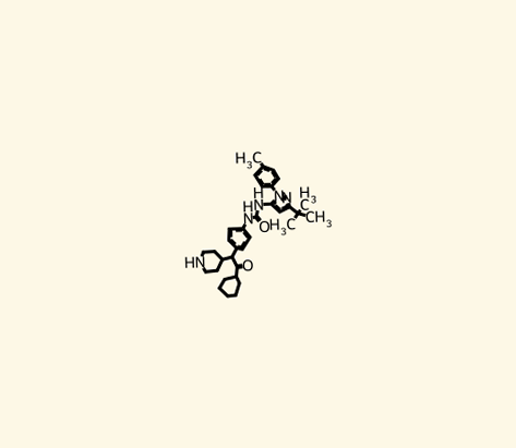 Cc1ccc(-n2nc(C(C)(C)C)cc2NC(=O)Nc2ccc(C(C(=O)C3CCCCC3)C3CCNCC3)cc2)cc1